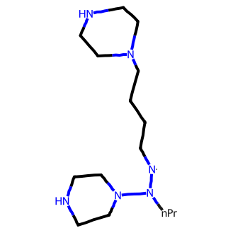 CCCN([N]CCCCN1CCNCC1)N1CCNCC1